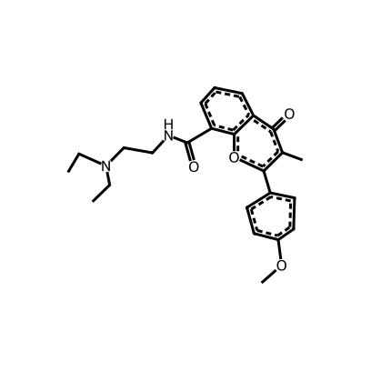 CCN(CC)CCNC(=O)c1cccc2c(=O)c(C)c(-c3ccc(OC)cc3)oc12